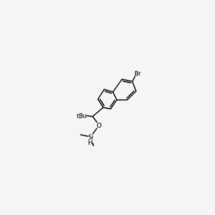 C[SiH](C)OC(c1ccc2cc(Br)ccc2c1)C(C)(C)C